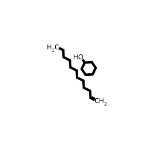 C=CCCCCCCCCCC.OC1CCCCC1